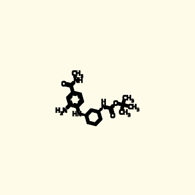 CNC(=O)c1ccc(N[C@@H]2CCC[C@H](NC(=O)OC(C)(C)C)C2)c(N)c1